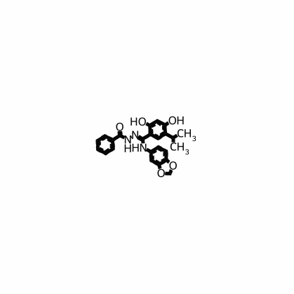 CC(C)c1cc(/C(=N/NC(=O)c2ccccc2)Nc2ccc3c(c2)OCO3)c(O)cc1O